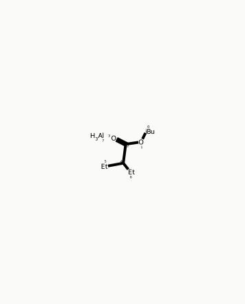 CCC(C)OC(=O)C(CC)CC.[AlH3]